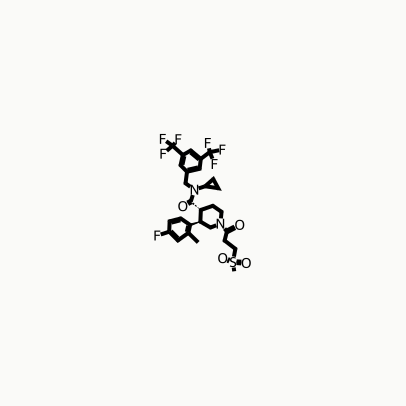 Cc1cc(F)ccc1[C@@H]1CN(C(=O)CCS(C)(=O)=O)CC[C@H]1C(=O)N(Cc1cc(C(F)(F)F)cc(C(F)(F)F)c1)C1CC1